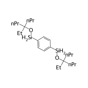 CCCC(CC)(CCC)O[SiH2]c1ccc([SiH2]OC(CC)(CCC)CCC)cc1